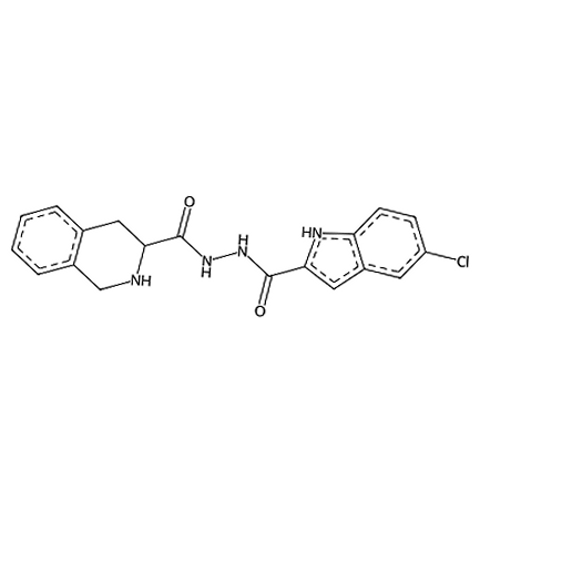 O=C(NNC(=O)C1Cc2ccccc2CN1)c1cc2cc(Cl)ccc2[nH]1